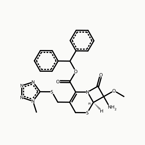 COC1(N)C(=O)N2C(C(=O)OC(c3ccccc3)c3ccccc3)=C(CSc3nnnn3C)CS[C@@H]21